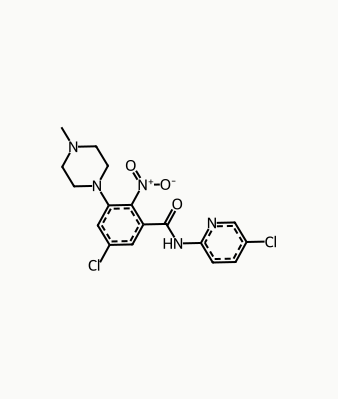 CN1CCN(c2cc(Cl)cc(C(=O)Nc3ccc(Cl)cn3)c2[N+](=O)[O-])CC1